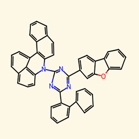 c1ccc(-c2ccccc2-c2nc(-c3ccc4c(c3)oc3ccccc34)nc(N3c4ccc5ccccc5c4-c4cccc5cccc3c45)n2)cc1